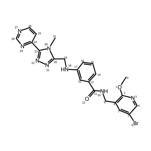 COc1ncc(Br)cc1CNC(=O)c1cccc(NCc2nnc(-c3ccncn3)n2C)c1